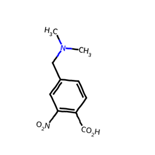 CN(C)Cc1ccc(C(=O)O)c([N+](=O)[O-])c1